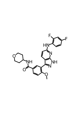 COc1ccc(C(=O)NC2CCOCC2)cc1-c1n[nH]c2nc(Nc3ccc(F)cc3F)ccc12